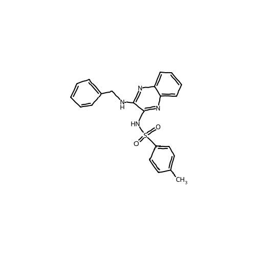 Cc1ccc(S(=O)(=O)Nc2nc3ccccc3nc2NCc2ccccc2)cc1